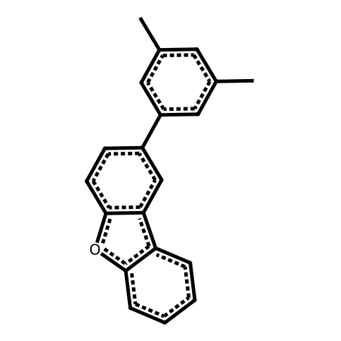 Cc1cc(C)cc(-c2ccc3oc4ccccc4c3c2)c1